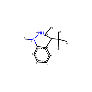 CCC(c1ccccc1N(C)N)C(C)(C)C